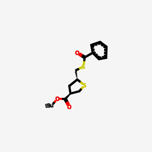 CC(C)(C)OC(=O)[C@@H]1CS[C@@H](CSC(=O)c2ccccc2)C1